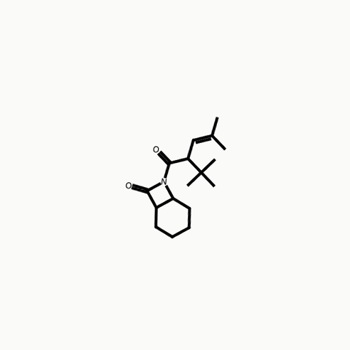 CC(C)=CC(C(=O)N1C(=O)C2CCCCC21)C(C)(C)C